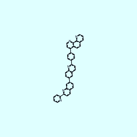 c1ccc(-c2ccc3ccc(-c4ccc5nc(-c6ccc(-c7ccnc8c7ccc7cccnc78)cc6)ccc5c4)cc3n2)nc1